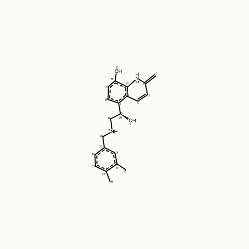 C=C1C=Cc2c([C@@H](O)CNCc3ccc(C)c(C)c3)ccc(O)c2N1